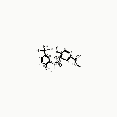 CCc1ccc(C(=O)OC)cc1S(=O)(=O)Nc1cc(C(F)(F)F)ccc1N